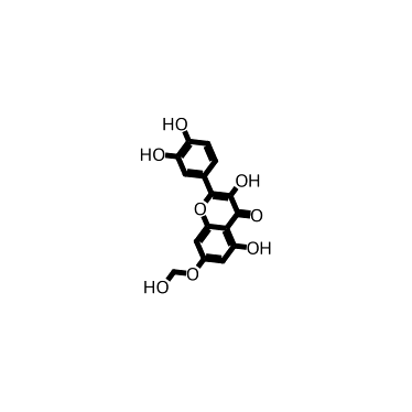 O=c1c(O)c(-c2ccc(O)c(O)c2)oc2cc(OCO)cc(O)c12